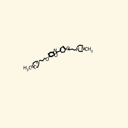 CN1CCCN(CCCOC2=CC=C(c3nc4ccc(OCCCN5CCCN(C)CC5)cc4o3)CC2)CC1